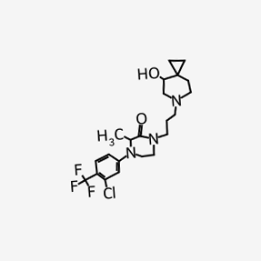 CC1C(=O)N(CCCN2CCC3(CC3)C(O)C2)CCN1c1ccc(C(F)(F)F)c(Cl)c1